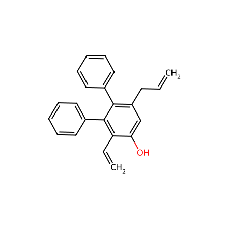 C=CCc1cc(O)c(C=C)c(-c2ccccc2)c1-c1ccccc1